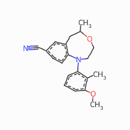 COc1cccc(N2CCOC(C)Cc3cc(C#N)ccc32)c1C